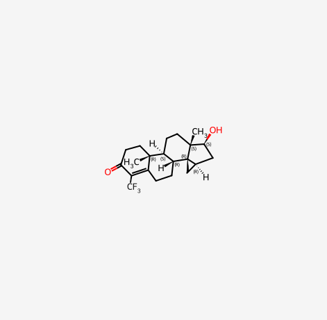 C[C@]12CCC(=O)C(C(F)(F)F)=C1CC[C@@H]1[C@@H]2CC[C@]2(C)[C@@H](O)C[C@H]3C[C@@]312